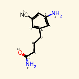 N#Cc1cc(N)cc(C[CH]CC(N)=O)c1